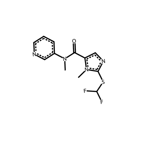 CN(C(=O)c1cnc(SC(F)F)n1C)c1cccnc1